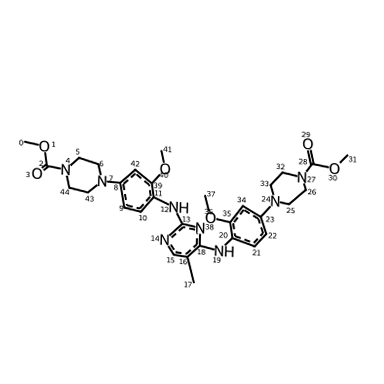 COC(=O)N1CCN(c2ccc(Nc3ncc(C)c(Nc4ccc(N5CCN(C(=O)OC)CC5)cc4OC)n3)c(OC)c2)CC1